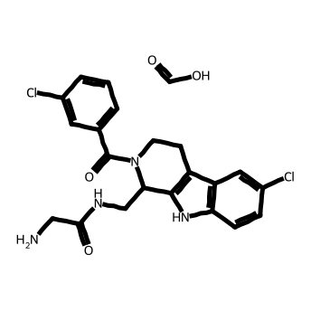 NCC(=O)NCC1c2[nH]c3ccc(Cl)cc3c2CCN1C(=O)c1cccc(Cl)c1.O=CO